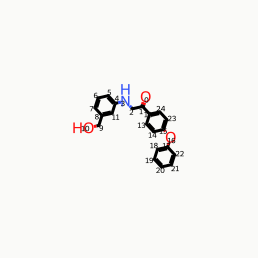 O=C(CNc1cccc(CO)c1)c1ccc(Oc2ccccc2)cc1